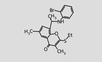 CCSc1oc2c([C@@H](C)Nc3ccccc3Br)cc(C)cc2c(=O)c1C